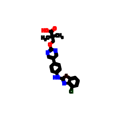 CC(C)(COc1ncc(-c2ccc(Nc3nc4c(Cl)cccc4s3)cc2)cn1)C(=O)O